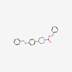 O=C(OCc1ccccc1)N1CCC(c2ccc(OCc3ccccc3)cc2)CC1